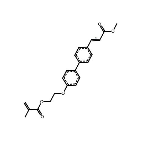 C=C(C)C(=O)OCCOc1ccc(-c2ccc(/C=C/C(=O)OC)cc2)cc1